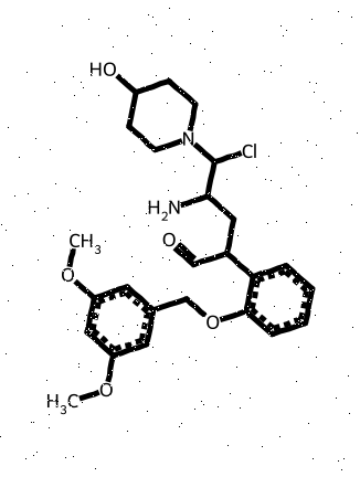 COc1cc(COc2ccccc2C(C=O)CC(N)C(Cl)N2CCC(O)CC2)cc(OC)c1